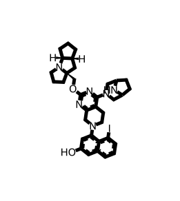 Oc1cc(N2CCc3c(nc(OC[C@@]45CCCN4[C@@H]4CCC[C@@H]4C5)nc3N3CC4CCC(C3)N4)C2)c2c(I)cccc2c1